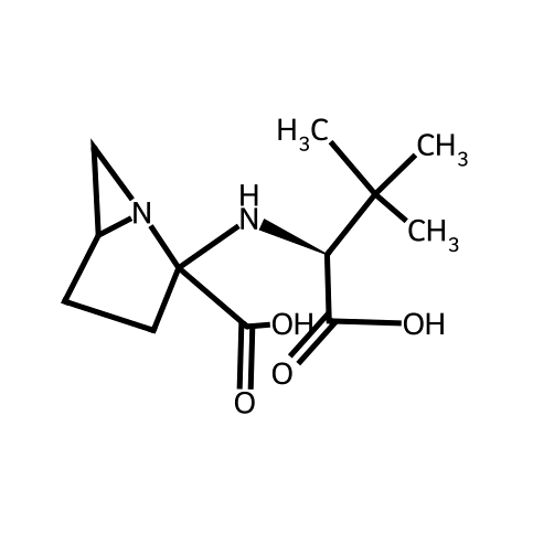 CC(C)(C)[C@H](NC1(C(=O)O)CCC2CN21)C(=O)O